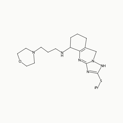 CC(C)SC1=NC2=NC3=C(CCCC3NCCCN3CCOCC3)CN2N1